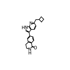 O=C1NCCc2cc(-c3c[nH]c4nc(CC5CCC5)ccc34)ccc21